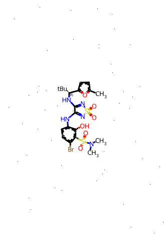 Cc1ccc([C@H](NC2=NS(=O)(=O)N=C2Nc2ccc(Br)c(S(=O)(=O)N(C)C)c2O)C(C)(C)C)o1